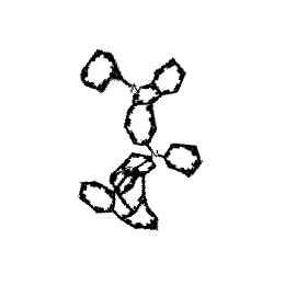 c1ccc(N(c2ccc3c(c2)-c2cccc4c2-c2ccccc2-c2cccc-4c2-3)c2ccc3c(c2)c2ccccc2n3-c2ccccc2)cc1